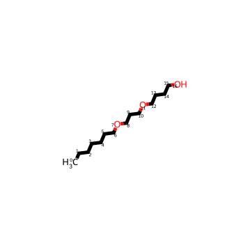 CCCCCCCOCCCOCCCCO